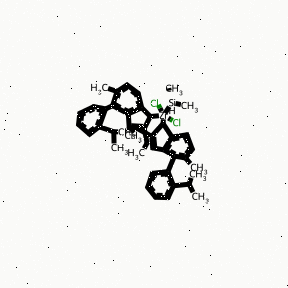 CCC1=Cc2c(ccc(C)c2-c2ccccc2C(C)C)[CH]1[Zr]([Cl])([Cl])([CH]1C(CC)=Cc2c1ccc(C)c2-c1ccccc1C(C)C)[SiH](C)C